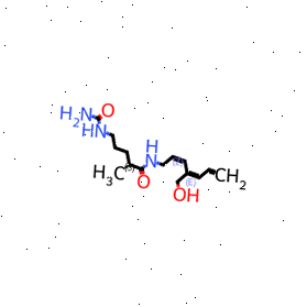 C=C/C=C(\C=C/CNC(=O)[C@@H](C)CCCNC(N)=O)CO